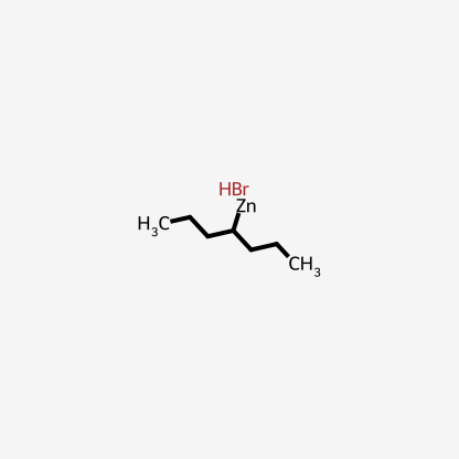 Br.CCC[CH]([Zn])CCC